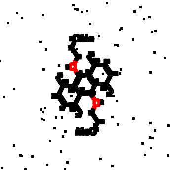 COCCOc1c2c(c(OCCOC)c3c1C(C)C=CC3C)C(C)C=CC2C